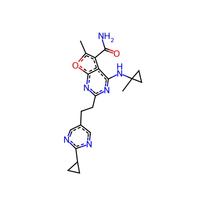 Cc1oc2nc(CCc3cnc(C4CC4)nc3)nc(NC3(C)CC3)c2c1C(N)=O